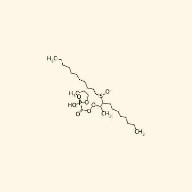 CCCCCCCCCCC[S+]([O-])C(CCCCCCCC)C(C)OOC(=O)P(=O)(O)OCCC